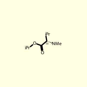 CN[C@H](C(=O)OC(C)C)C(C)C